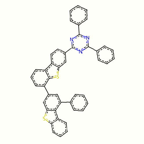 c1ccc(-c2nc(-c3ccccc3)nc(-c3ccc4c(c3)sc3c(-c5cc(-c6ccccc6)c6c(c5)sc5ccccc56)cccc34)n2)cc1